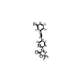 CC1(C)CN(c2ccc(C#Cc3cccc(F)c3)cn2)C(=O)O1